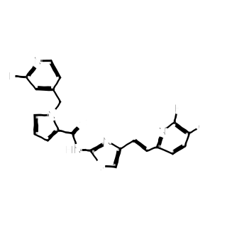 Cc1ccc(/C=C/c2csc(NC(=O)c3cccn3Cc3ccnc(F)c3)n2)nc1F